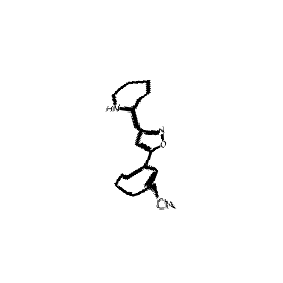 N#Cc1cccc(-c2cc(C3CCCCN3)no2)c1